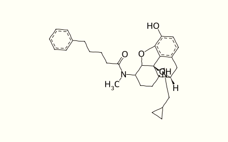 CN(C(=O)CCCCc1ccccc1)C1CC[C@@]2(O)[C@H]3Cc4ccc(O)c5c4[C@@]2(CCN3CC2CC2)C1O5